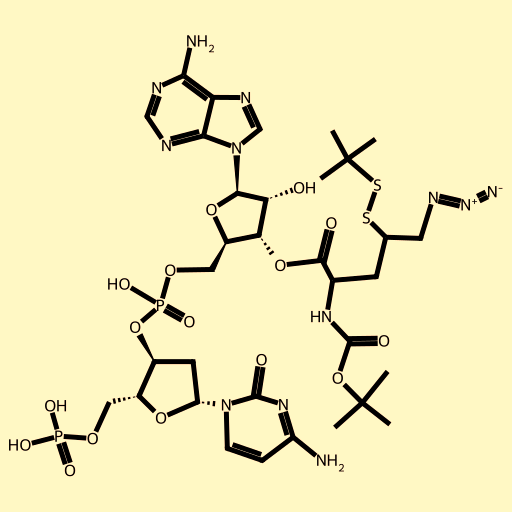 CC(C)(C)OC(=O)NC(CC(CN=[N+]=[N-])SSC(C)(C)C)C(=O)O[C@H]1[C@@H](O)[C@H](n2cnc3c(N)ncnc32)O[C@@H]1COP(=O)(O)O[C@H]1C[C@H](n2ccc(N)nc2=O)O[C@@H]1COP(=O)(O)O